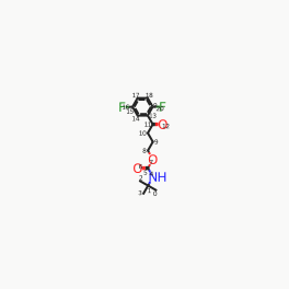 CC(C)(C)NC(=O)OCCCC(=O)c1cc(F)ccc1F